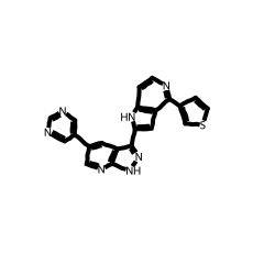 c1ncc(-c2cnc3[nH]nc(-c4cc5c(-c6ccsc6)nccc5[nH]4)c3c2)cn1